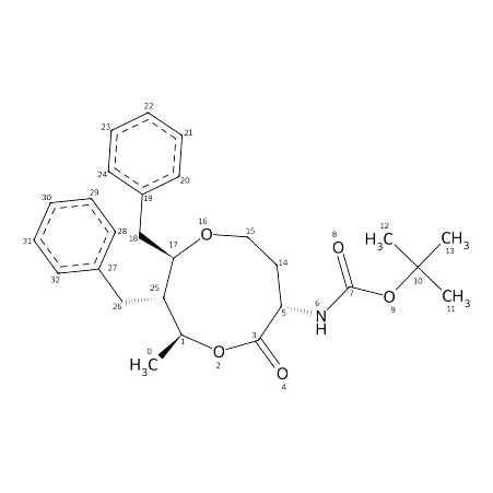 C[C@@H]1OC(=O)[C@@H](NC(=O)OC(C)(C)C)CCO[C@H](Cc2ccccc2)[C@H]1Cc1ccccc1